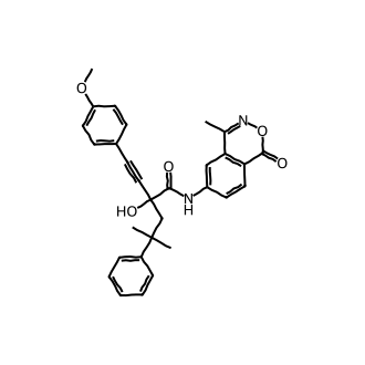 COc1ccc(C#CC(O)(CC(C)(C)c2ccccc2)C(=O)Nc2ccc3c(=O)onc(C)c3c2)cc1